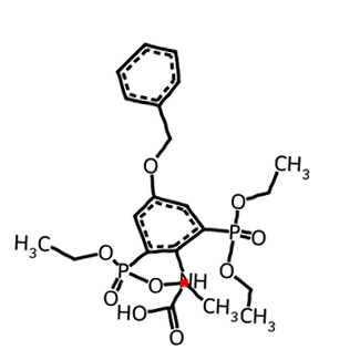 CCOP(=O)(OCC)c1cc(OCc2ccccc2)cc(P(=O)(OCC)OCC)c1NC(=O)O